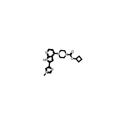 Cn1cnc(-c2cc3c(N4CCN(C(=O)OC5CCC5)CC4)ccnc3[nH]2)c1